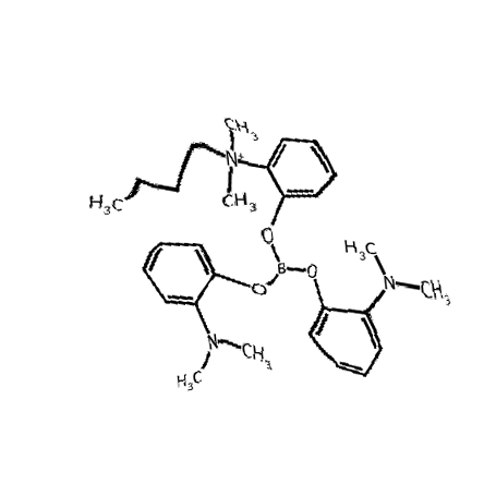 CCCC[N+](C)(C)c1ccccc1OB(Oc1ccccc1N(C)C)Oc1ccccc1N(C)C